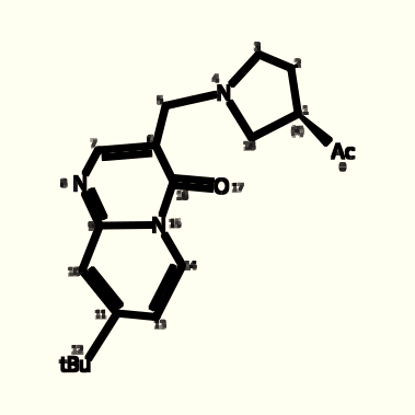 CC(=O)[C@@H]1CCN(Cc2cnc3cc(C(C)(C)C)ccn3c2=O)C1